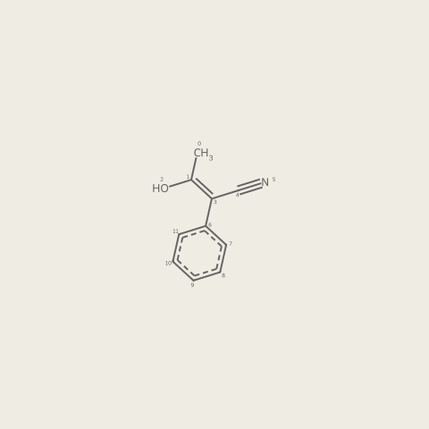 CC(O)=C(C#N)c1ccccc1